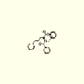 CC(=O)N(CCCc1ccccc1)[N+](Cc1ccccc1)C(=O)c1ccccc1